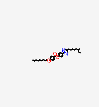 C=CCCCCCCCOc1ccc(C(=O)Oc2ccc(-c3ncc(CCCCCC(C)CC)cn3)cc2)cc1